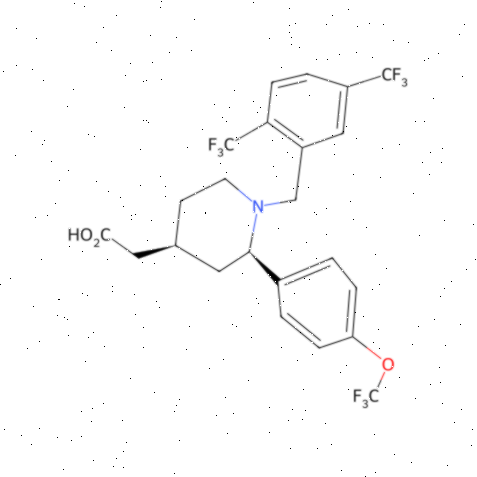 O=C(O)C[C@H]1CCN(Cc2cc(C(F)(F)F)ccc2C(F)(F)F)[C@@H](c2ccc(OC(F)(F)F)cc2)C1